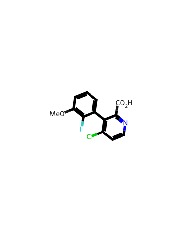 COc1cccc(-c2c(Cl)ccnc2C(=O)O)c1F